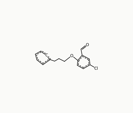 O=Cc1cc(Cl)ccc1OCCCc1ccccc1